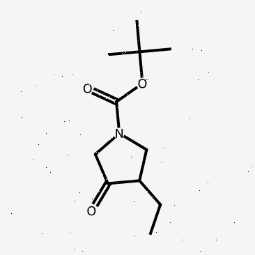 CCC1CN(C(=O)OC(C)(C)C)CC1=O